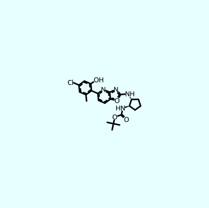 Cc1cc(Cl)cc(O)c1-c1ccc2oc(N[C@@H]3CCC[C@H]3NC(=O)OC(C)(C)C)nc2n1